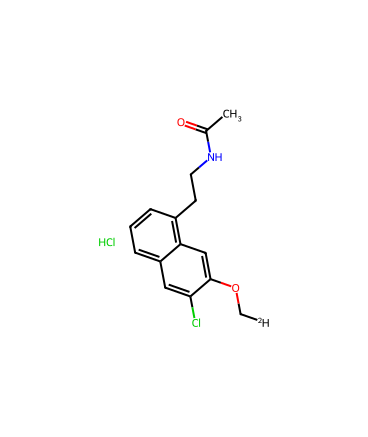 Cl.[2H]COc1cc2c(CCNC(C)=O)cccc2cc1Cl